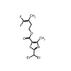 CCC(CC)c1nc(C)c(C(=O)OCCC(C)=C(F)F)s1